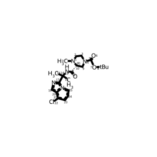 CN1CCN(C(=O)OC(C)(C)C)C[C@@H]1C(=O)NC(C)(C)c1ncc2c(Cl)cccn12